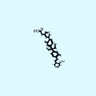 CCC(CC)(c1ccc(/C=C/C2CSCCC2O)c(C)c1)c1ccc(-c2cncc(CC(=O)O)c2)c(C)c1